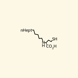 CCCCCCCCCCCCN[C@@H](CCS)C(=O)O